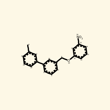 Cc1[c]c(-c2cccc(COc3cccc([N+](=O)[O-])c3)c2)ccc1